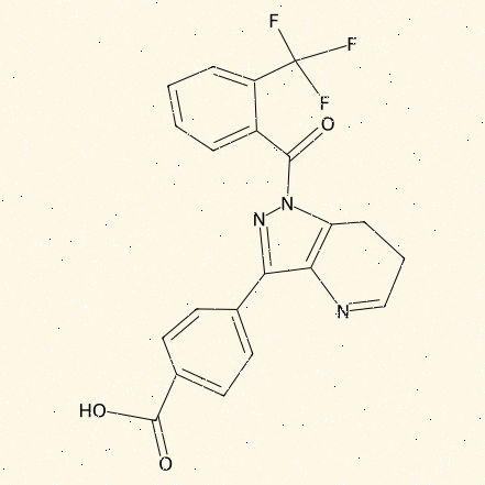 O=C(O)c1ccc(-c2nn(C(=O)c3ccccc3C(F)(F)F)c3c2N=CCC3)cc1